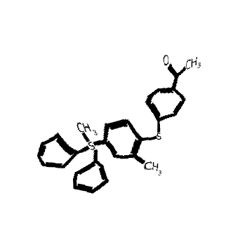 CC(=O)c1ccc(Sc2ccc(S(C)(c3ccccc3)c3ccccc3)cc2C)cc1